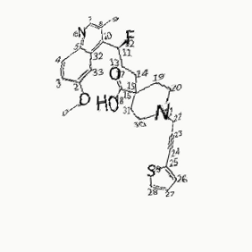 COc1ccc2ncc(C)c([C@@H](F)CCC3(C(=O)O)CCN(CC#Cc4cccs4)CC3)c2c1